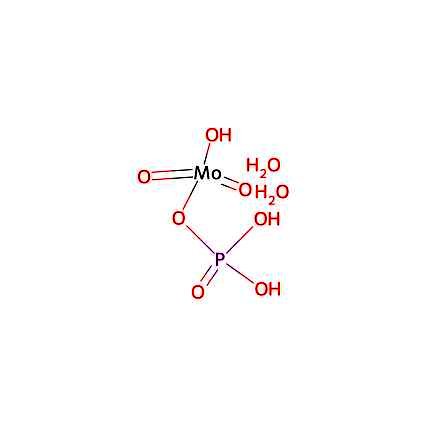 O.O.O=P(O)(O)[O][Mo](=[O])(=[O])[OH]